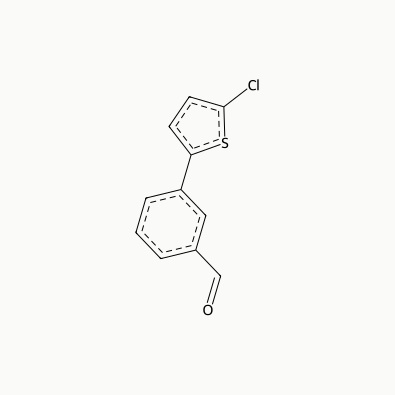 O=Cc1cccc(-c2ccc(Cl)s2)c1